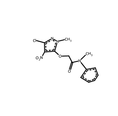 CN(C(=O)COc1c([N+](=O)[O-])c(Cl)nn1C)c1ccccc1